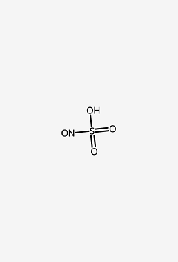 O=NS(=O)(=O)O